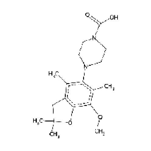 COc1c(C)c(N2CCN(C(=O)O)CC2)c(C)c2c1OC(C)(C)C2